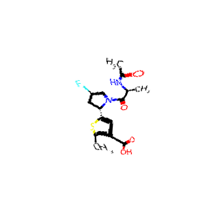 CC(=O)N[C@@H](C)C(=O)N1C[C@H](F)C[C@H]1c1cc(C(=O)O)c(C)s1